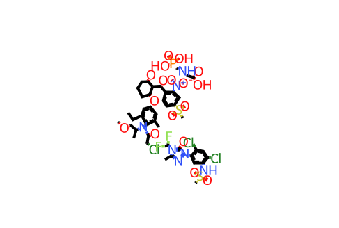 CCc1cccc(C)c1N(C(=O)CCl)C(C)COC.CS(=O)(=O)c1ccc(C(=O)C2C(=O)CCCC2=O)c([N+](=O)[O-])c1.Cc1nn(-c2cc(NS(C)(=O)=O)c(Cl)cc2Cl)c(=O)n1C(F)F.O=C(O)CNCP(=O)(O)O